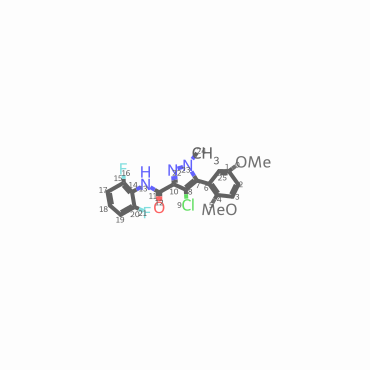 COc1ccc(OC)c(-c2c(Cl)c(C(=O)Nc3c(F)cccc3F)nn2C)c1